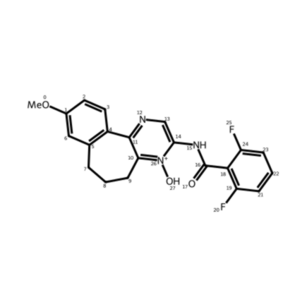 COc1ccc2c(c1)CCCc1c-2ncc(NC(=O)c2c(F)cccc2F)[n+]1O